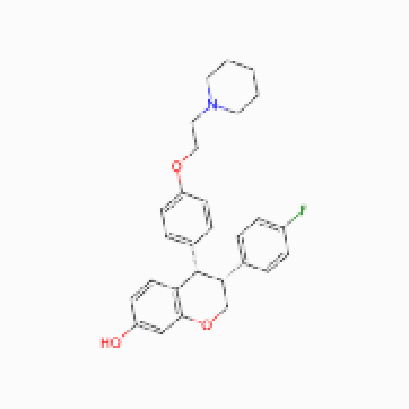 Oc1ccc2c(c1)OC[C@@H](c1ccc(F)cc1)[C@H]2c1ccc(OCCN2CCCCC2)cc1